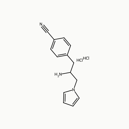 Cl.Cl.N#Cc1ccc(CC(N)Cn2cccc2)cc1